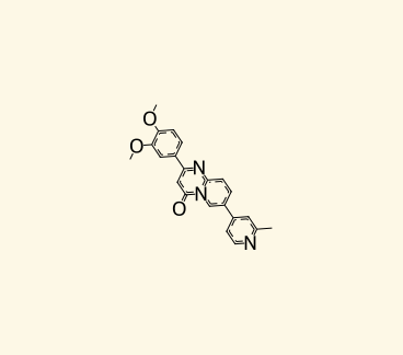 COc1ccc(-c2cc(=O)n3cc(-c4ccnc(C)c4)ccc3n2)cc1OC